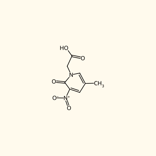 Cc1cc([N+](=O)[O-])c(=O)n(CC(=O)O)c1